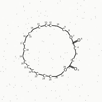 O=C1CCCC(=O)OCCCCCCCCCCCCCCCCCCCCO1